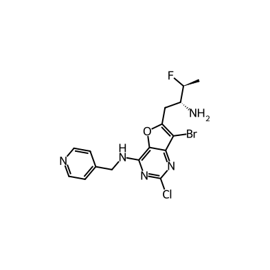 C[C@H](F)[C@H](N)Cc1oc2c(NCc3ccncc3)nc(Cl)nc2c1Br